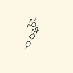 C[C@H]1CC[C@H](c2ccc(C(F)(F)Oc3cc(F)c(F)c(F)c3)cc2)CC1